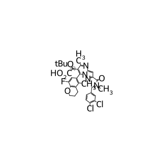 Cc1nc2cc(C(=O)N(C)Cc3ccc(Cl)c(Cl)c3)nn2c(-c2cc(F)c3c(c2C)CCCO3)c1[C@H](OC(C)(C)C)C(=O)O